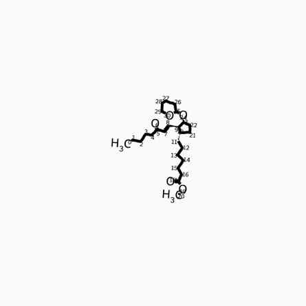 CCCCCC(=O)/C=C/[C@@H]1[C@@H](CCCCCCC(=O)OC)CC[C@H]1OC1CCCCO1